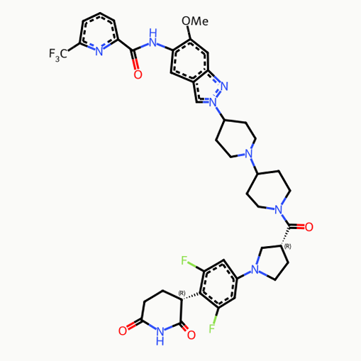 COc1cc2nn(C3CCN(C4CCN(C(=O)[C@@H]5CCN(c6cc(F)c([C@H]7CCC(=O)NC7=O)c(F)c6)C5)CC4)CC3)cc2cc1NC(=O)c1cccc(C(F)(F)F)n1